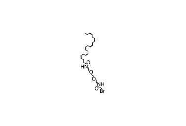 CC/C=C\C/C=C\C/C=C\C/C=C\C/C=C\C/C=C\CCC(=O)NCCOCCOCCNC(=O)CBr